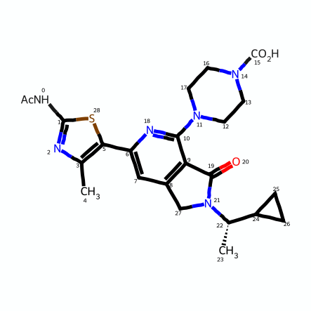 CC(=O)Nc1nc(C)c(-c2cc3c(c(N4CCN(C(=O)O)CC4)n2)C(=O)N([C@@H](C)C2CC2)C3)s1